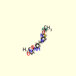 CN1C(=O)CCC1C(=O)N[C@H]1CC[C@H](CCN2CCc3sc(OCC(C)(F)F)nc3C2)CC1